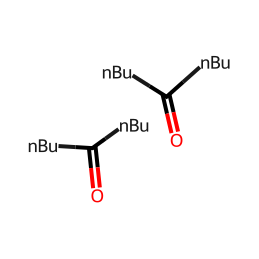 CCCCC(=O)CCCC.CCCCC(=O)CCCC